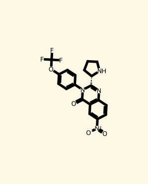 O=c1c2cc([N+](=O)[O-])ccc2nc([C@@H]2CCCN2)n1-c1ccc(OC(F)(F)F)cc1